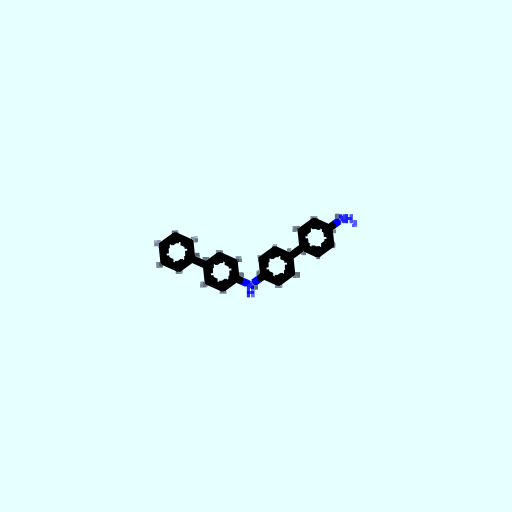 Nc1ccc(-c2ccc(Nc3ccc(-c4ccccc4)cc3)cc2)cc1